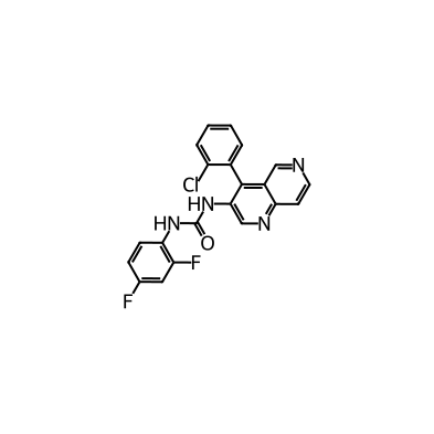 O=C(Nc1ccc(F)cc1F)Nc1cnc2ccncc2c1-c1ccccc1Cl